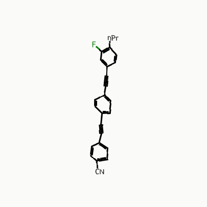 CCCc1ccc(C#Cc2ccc(C#Cc3ccc(C#N)cc3)cc2)cc1F